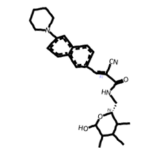 CC1C(O)O[C@H](CNC(=O)/C(C#N)=C/c2ccc3cc(N4CCCCC4)ccc3c2)C(C)C1C